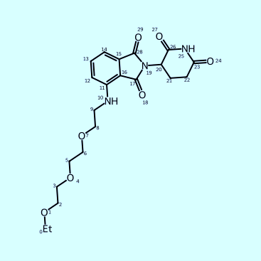 CCOCCOCCOCCNc1cccc2c1C(=O)N(C1CCC(=O)NC1=O)C2=O